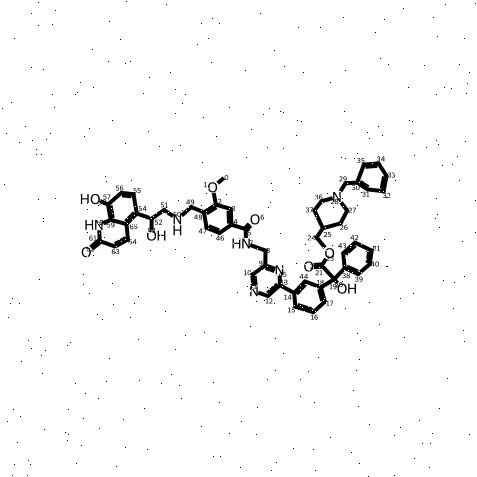 COc1cc(C(=O)NCc2cncc(-c3cccc(C(O)(C(=O)OCC4CCN(Cc5ccccc5)CC4)c4ccccc4)c3)n2)ccc1CNCC(O)c1ccc(O)c2[nH]c(=O)ccc12